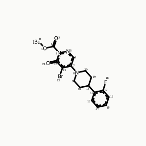 CC(C)(C)OC(=O)n1ncc(N2CCC(c3ccccc3F)CC2)c(Br)c1=O